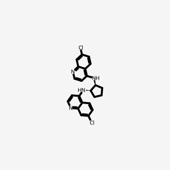 Clc1ccc2c(N[C@H]3CCC[C@@H]3Nc3ccnc4cc(Cl)ccc34)ccnc2c1